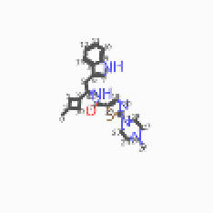 CC1CC(C(Cc2c[nH]c3ccccc23)NC(=O)c2cnc(N3CCN(C)CC3)s2)C1